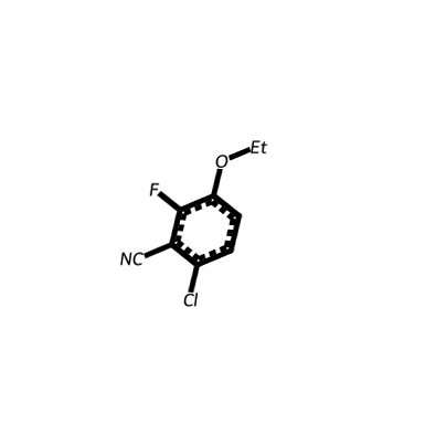 CCOc1ccc(Cl)c(C#N)c1F